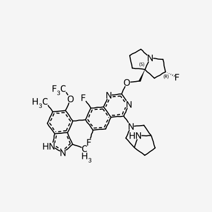 Cc1cc2[nH]nc(C)c2c(-c2c(F)cc3c(N4CC5CCC(C4)N5)nc(OC[C@@]45CCCN4C[C@H](F)C5)nc3c2F)c1OC(F)(F)F